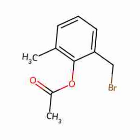 CC(=O)Oc1c(C)cccc1CBr